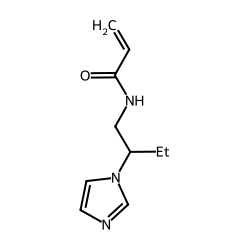 C=CC(=O)NCC(CC)n1ccnc1